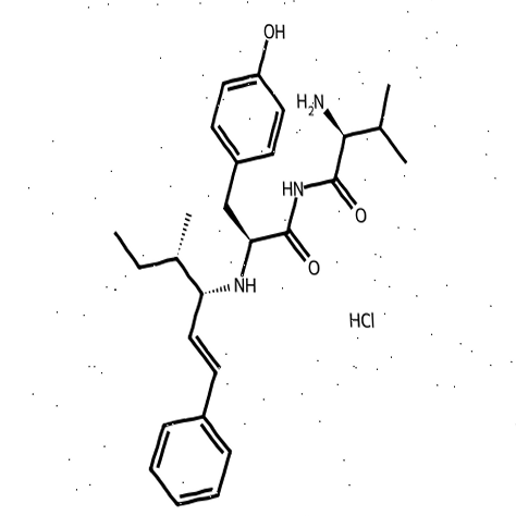 CC[C@H](C)[C@@H](/C=C/c1ccccc1)N[C@@H](Cc1ccc(O)cc1)C(=O)NC(=O)[C@@H](N)C(C)C.Cl